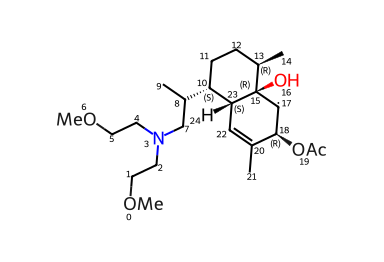 COCCN(CCOC)CC(C)[C@@H]1CC[C@@H](C)[C@]2(O)[CH][C@@H](OC(C)=O)C(C)=C[C@H]12